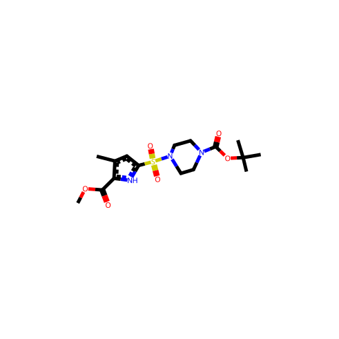 COC(=O)c1[nH]c(S(=O)(=O)N2CCN(C(=O)OC(C)(C)C)CC2)cc1C